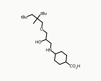 CC(C)(C)CC(C)(COCC(O)CNC1CCC(C(=O)O)CC1)C(C)(C)C